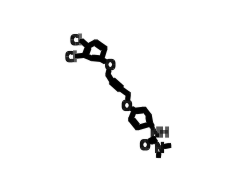 CN(C)C(=O)Nc1ccc(OCC#CCOc2ccc(Cl)c(Cl)c2)cc1